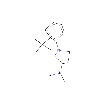 CN(C)C1CCN(c2ccccc2C(C)(C)C)C1